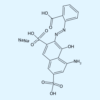 Nc1cc(S(=O)(=O)O)cc2cc(S(=O)(=O)O)c(N=Nc3ccccc3C(=O)O)c(O)c12.[Na].[Na]